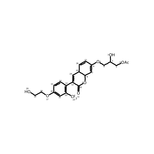 CC(=O)OCC(O)COC1=CC2OC(=O)C(c3ccc(OCCO)cc3C(F)(F)F)=CC2C=C1